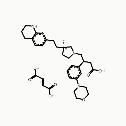 O=C(O)/C=C/C(=O)O.O=C(O)CC(CN1CC[C@@](F)(CCc2ccc3c(n2)NCCC3)C1)c1cccc(N2CCOCC2)c1